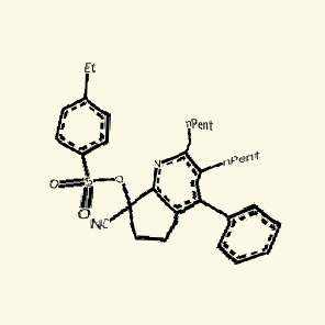 CCCCCc1nc2c(c(-c3ccccc3)c1CCCCC)CCC2(C#N)OS(=O)(=O)c1ccc(CC)cc1